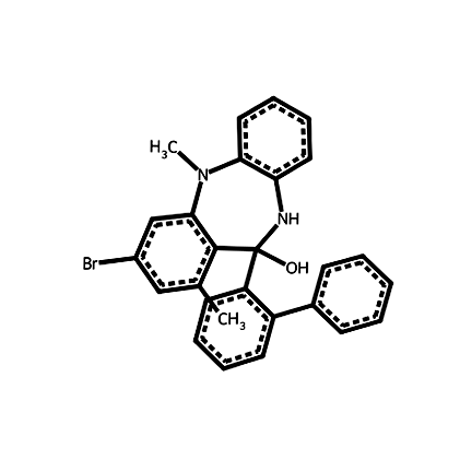 Cc1cc(Br)cc2c1C(O)(c1ccccc1-c1ccccc1)Nc1ccccc1N2C